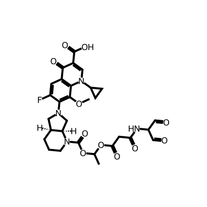 COc1c(N2C[C@@H]3CCCN(C(=O)OC(C)OC(=O)CC(=O)NC(C=O)C=O)[C@@H]3C2)c(F)cc2c(=O)c(C(=O)O)cn(C3CC3)c12